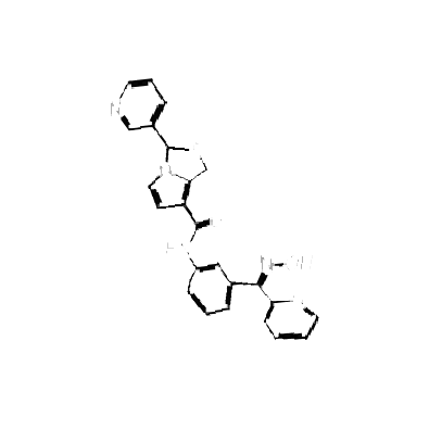 O=C(Nc1cccc(C(=NO)c2ccccn2)c1)c1ccn2c1CSC2c1cccnc1